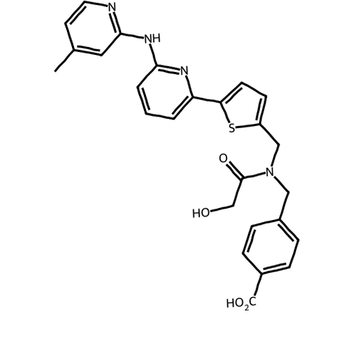 Cc1ccnc(Nc2cccc(-c3ccc(CN(Cc4ccc(C(=O)O)cc4)C(=O)CO)s3)n2)c1